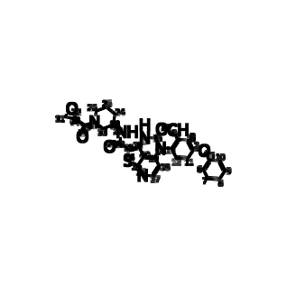 Cc1cc(Oc2ccccc2)ccc1N1C(=O)Nc2c(C(=O)N[C@@H]3CCCN(C(=O)[C@H]4CO4)C3)sc3nccc1c23